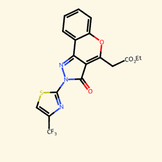 CCOC(=O)Cc1oc2ccccc2c2nn(-c3nc(C(F)(F)F)cs3)c(=O)c1-2